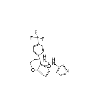 O=C(Nc1cccnc1)NC1(c2ccc(C(F)(F)F)cc2)CCOc2cccnc21